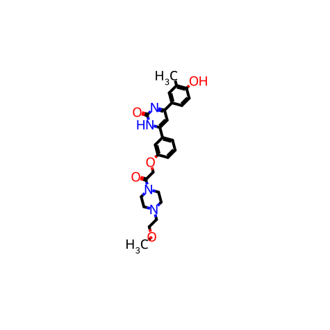 COCCN1CCN(C(=O)COc2cccc(-c3cc(-c4ccc(O)c(C)c4)nc(=O)[nH]3)c2)CC1